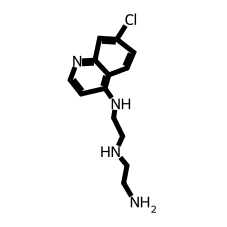 NCCNCCNc1ccnc2cc(Cl)ccc12